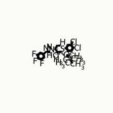 CC(C)(C)[Si](C)(C)OC[C@@H]1[C@@H](O)[C@H](n2cc(-c3cc(F)c(F)c(F)c3)nn2)CC[SH]1c1ccc(Cl)c(Cl)c1